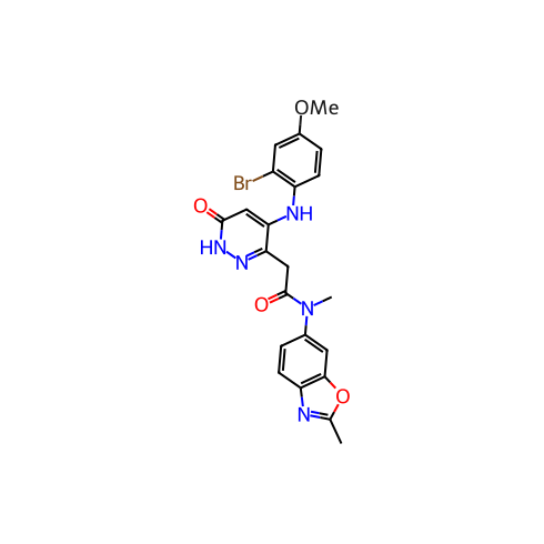 COc1ccc(Nc2cc(=O)[nH]nc2CC(=O)N(C)c2ccc3nc(C)oc3c2)c(Br)c1